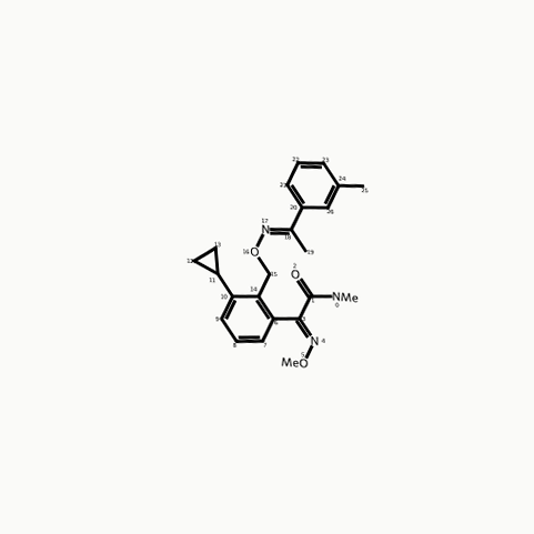 CNC(=O)/C(=N/OC)c1cccc(C2CC2)c1CO/N=C(\C)c1cccc(C)c1